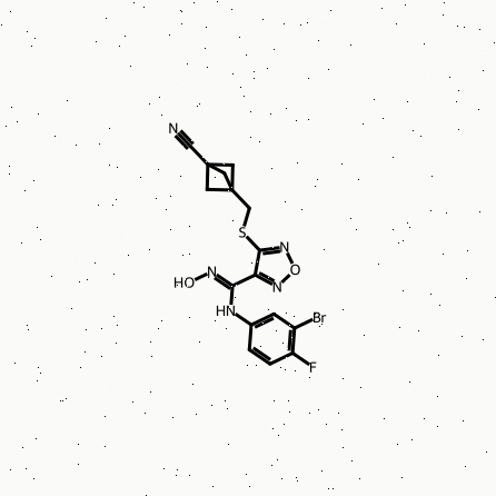 N#CC12CC(CSc3nonc3/C(=N/O)Nc3ccc(F)c(Br)c3)(C1)C2